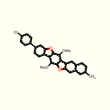 CCc1ccc(-c2ccc3c(c2)oc2c(OC)c4c(oc5cc6cc(C)ccc6cc54)c(OC)c23)cc1